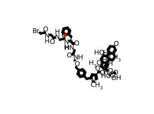 Cn1cc([C@@H]2O[C@@H]3C[C@H]4[C@@H]5CCC6=CC(=O)C=C[C@]6(C)[C@H]5[C@@H](O)C[C@]4(C)[C@]3(C(=O)COP(=O)(O)O)O2)cc1Cc1ccc(COCNC(=O)CNC(=O)[C@H](Cc2ccccc2)NC(=O)CNC(=O)CNC(=O)CBr)cc1